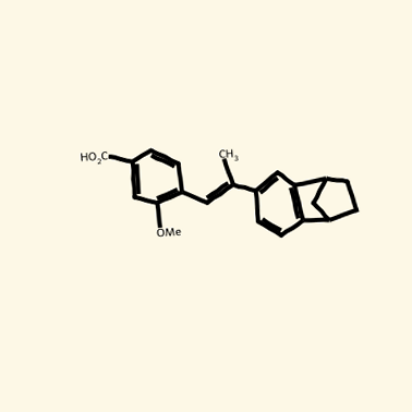 COc1cc(C(=O)O)ccc1C=C(C)c1ccc2c(c1)C1CCC2C1